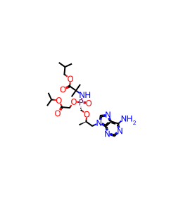 CC(C)COC(=O)C(C)(C)N[P@](=O)(CO[C@H](C)Cn1cnc2c(N)ncnc21)OCC(=O)OC(C)C